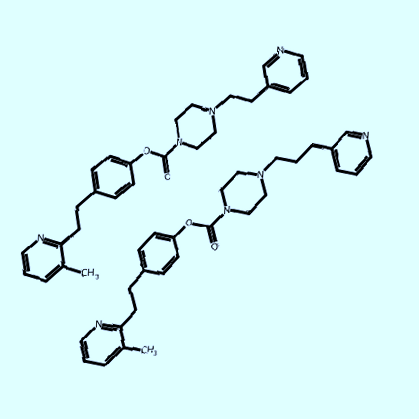 Cc1cccnc1CCc1ccc(OC(=O)N2CCN(CCCc3cccnc3)CC2)cc1.Cc1cccnc1CCc1ccc(OC(=O)N2CCN(CCc3cccnc3)CC2)cc1